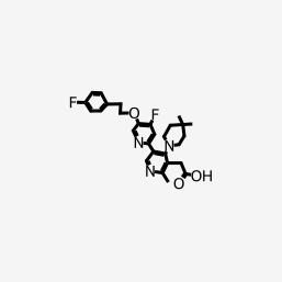 Cc1ncc(-c2cc(F)c(OCCc3ccc(F)cc3)cn2)c(N2CCC(C)(C)CC2)c1CC(=O)O